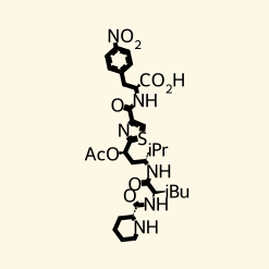 CC[C@H](C)[C@H](NC(=O)[C@H]1CCCCN1)C(=O)N[C@H](C[C@@H](OC(C)=O)c1nc(C(=O)N[C@@H](Cc2ccc([N+](=O)[O-])cc2)C(=O)O)cs1)C(C)C